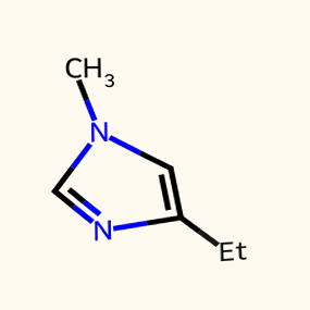 CCc1cn(C)cn1